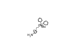 CC(C)(C)[Si](OCCc1ccc(N)o1)(c1ccccc1)c1ccccc1